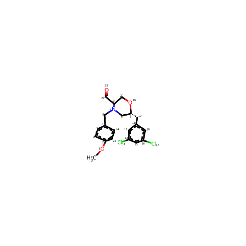 COc1ccc(CN2C[C@@H](Cc3cc(Cl)cc(Cl)c3)OCC2C=O)cc1